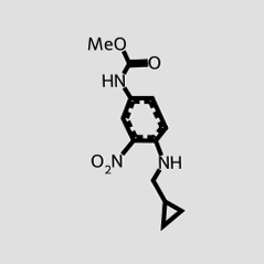 COC(=O)Nc1ccc(NCC2CC2)c([N+](=O)[O-])c1